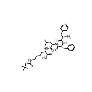 CC(C)C[C@@H](NC(=O)[C@@H](Cc1ccccc1)NC(=O)[C@H](N)Cc1ccccc1)C(=O)N[C@H](CCCCNC(=O)OC(C)(C)C)C(=O)O